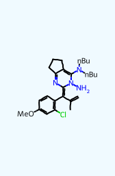 C=C(C)/C(=C1/N=C2CCCC2=C(N(CCCC)CCCC)N1N)c1ccc(OC)cc1Cl